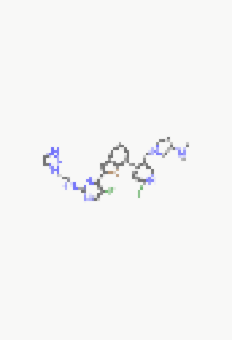 CN(C)C1CCN(Cc2cnc(F)cc2-c2cccc3cc(-c4nc(NCCn5ccnn5)ncc4F)sc23)C1